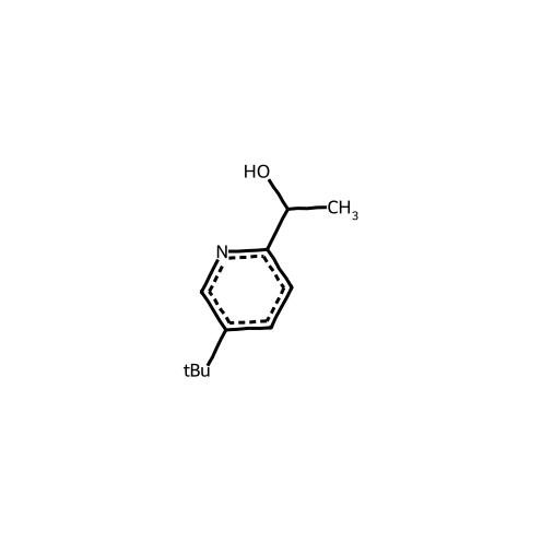 CC(O)c1ccc(C(C)(C)C)cn1